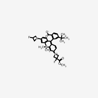 COC(=O)C1(F)C[N+](=C2C=CC3=C(c4cc(C(C)(C)C)ccc4C(=O)[O-])c4ccc(N5CC(F)C5)cc4[Si](C)(C)C3=C2)C1